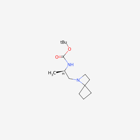 C[C@H](CN1CCC12CCC2)NC(=O)OC(C)(C)C